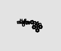 CC(COc1ccc(CC2SC(=O)N(C(c3ccccc3)(c3ccccc3)c3ccccc3)C2=O)cc1)NC(=O)OC(C)(C)C